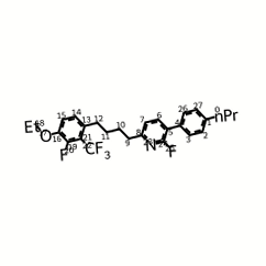 CCCc1ccc(-c2ccc(CCCCc3ccc(OCC)c(F)c3C(F)(F)F)nc2F)cc1